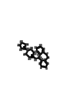 c1ccc2c(c1)CCc1ccccc1C2CN1CCC(N2CCCC2)CC1